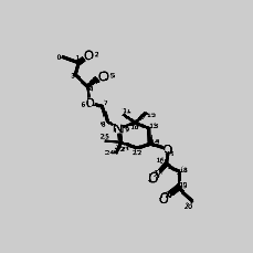 CC(=O)CC(=O)OCCN1C(C)(C)CC(OC(=O)CC(C)=O)CC1(C)C